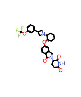 O=C1CCC(N2Cc3cc(O[C@@H]4CCCC[C@H]4N4CC(c5cccc(OC(F)(F)F)c5)C4)ccc3C2=O)C(=O)N1